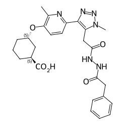 Cc1nc(-c2nnn(C)c2CC(=O)NNC(=O)Cc2ccccc2)ccc1O[C@H]1CCC[C@H](C(=O)O)C1